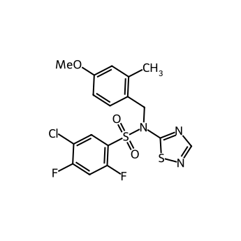 COc1ccc(CN(c2ncns2)S(=O)(=O)c2cc(Cl)c(F)cc2F)c(C)c1